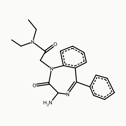 CCN(CC)C(=O)CN1C(=O)C(N)N=C(c2ccccc2)c2ccccc21